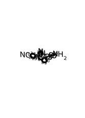 N#Cc1ccc(N(Cc2cccc(OSOON)c2)n2cnnc2)cc1